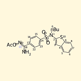 CCCCN(c1cc2ccccc2s1)S(=O)(=O)c1ccc(/C(N)=N/OC(C)=O)cc1